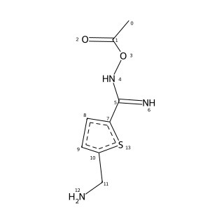 CC(=O)ONC(=N)c1ccc(CN)s1